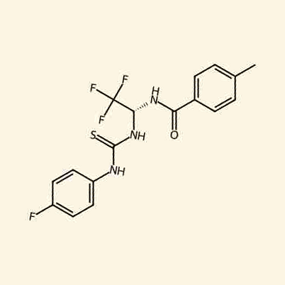 Cc1ccc(C(=O)N[C@H](NC(=S)Nc2ccc(F)cc2)C(F)(F)F)cc1